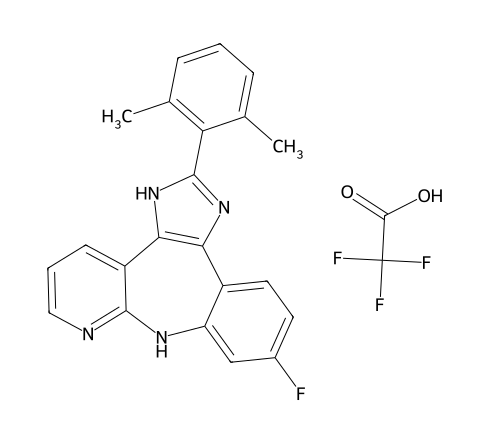 Cc1cccc(C)c1-c1nc2c([nH]1)-c1cccnc1Nc1cc(F)ccc1-2.O=C(O)C(F)(F)F